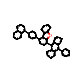 c1ccc(-c2c3ccccc3c(-c3ccc(-c4ccc(-c5cccc6ccccc56)cc4)c4c3oc3ccccc34)c3ccccc23)cc1